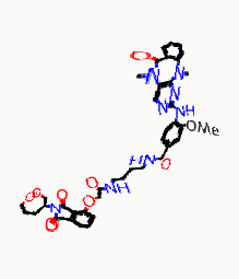 COc1cc(C(=O)NCCCCNC(=O)COc2cccc3c2C(=O)N(C2CCCOOC2)C3=O)ccc1Nc1ncc2c(n1)N(C)c1ccccc1C(=O)N2C